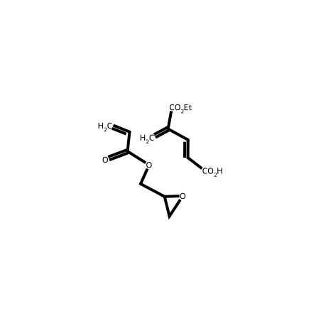 C=C(C=CC(=O)O)C(=O)OCC.C=CC(=O)OCC1CO1